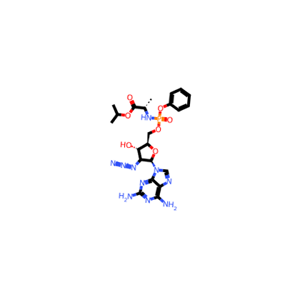 CC(C)OC(=O)[C@H](C)NP(=O)(OC[C@H]1O[C@@H](n2cnc3c(N)nc(N)nc32)C(N=[N+]=[N-])[C@@H]1O)Oc1ccccc1